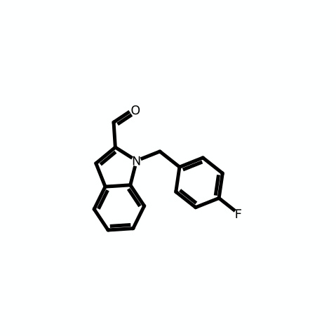 O=Cc1cc2ccccc2n1Cc1ccc(F)cc1